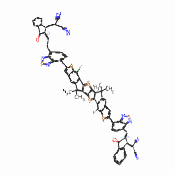 CC1(C)c2cc3cc(-c4ccc(/C=C5\C(=O)c6ccccc6C5=C(C#N)C#N)c5nsnc45)sc3c(F)c2-c2sc3c4c(sc3c21)-c1c(cc2cc(-c3ccc(C/C=C5\C(=O)c6ccccc6C5=C(C#N)C#N)c5nsnc35)sc2c1F)C4(C)C